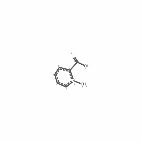 C[n+]1ccccc1C(=O)O